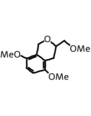 COCC1Cc2c(OC)ccc(OC)c2CO1